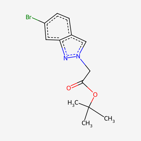 CC(C)(C)OC(=O)Cn1cc2ccc(Br)cc2n1